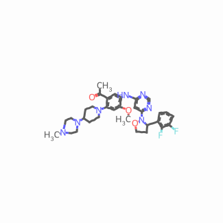 COc1cc(N2CCC(N3CCN(C)CC3)CC2)c(C(C)=O)cc1Nc1cc(N2OCCC2c2cccc(F)c2F)ncn1